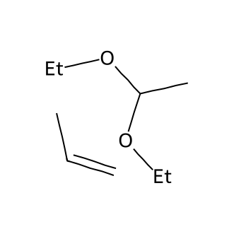 C=CC.CCOC(C)OCC